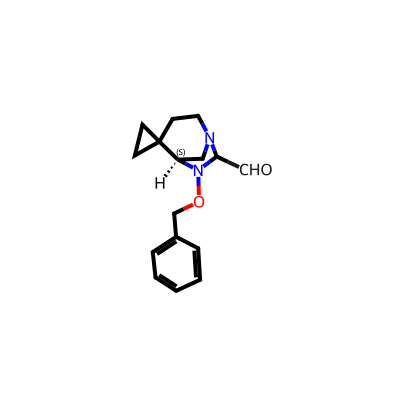 O=CC1N2CCC3(CC3)[C@@H](C2)N1OCc1ccccc1